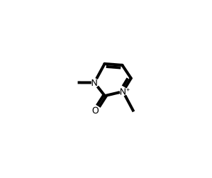 Cn1ccc[n+](C)c1=O